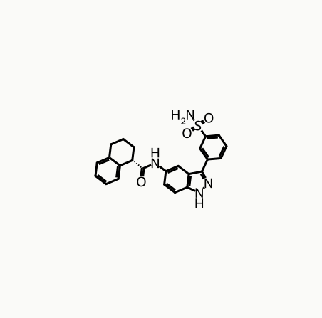 NS(=O)(=O)c1cccc(-c2n[nH]c3ccc(NC(=O)[C@H]4CCCc5ccccc54)cc23)c1